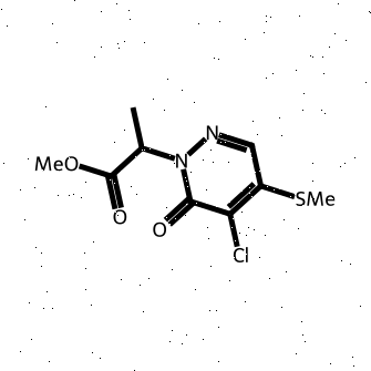 COC(=O)C(C)n1ncc(SC)c(Cl)c1=O